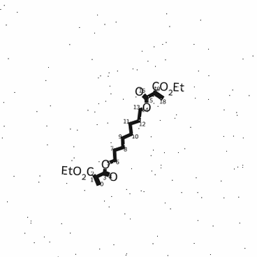 C=C(C(=O)OCC)C(=O)OCCCCCCCCOC(=O)C(=C)C(=O)OCC